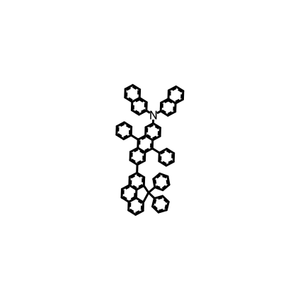 c1ccc(-c2c3ccc(N(c4ccc5ccccc5c4)c4ccc5ccccc5c4)cc3c(-c3ccccc3)c3ccc(-c4cc5c6c(ccc7cccc(c76)C5(c5ccccc5)c5ccccc5)c4)cc23)cc1